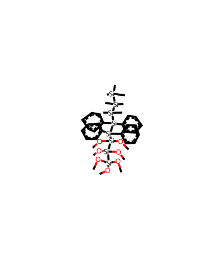 CO[Si](OC)(OC)[Si](OC)(OC)[Si](OC)(OC)[Si](c1ccccc1)(c1ccccc1)[Si](c1ccccc1)(c1ccccc1)[Si](C)(C)[Si](C)(C)[Si](C)(C)C